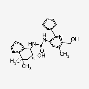 Cc1cc(NC(=O)NC2c3ccccc3C(C)(C)C[C@H]2O)c(-c2ccccc2)nc1CO